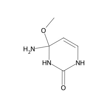 COC1(N)C=CNC(=O)N1